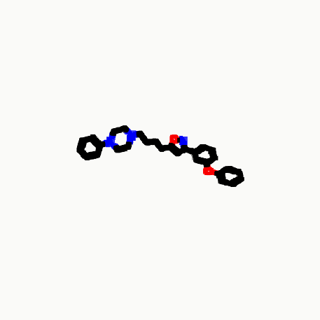 c1ccc(Oc2cccc(-c3cc(CCCCN4CCN(c5ccccc5)CC4)on3)c2)cc1